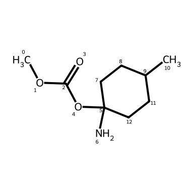 COC(=O)OC1(N)CCC(C)CC1